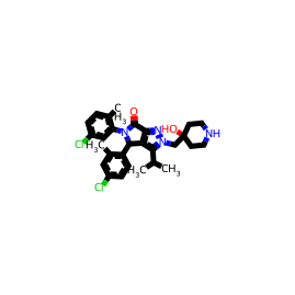 Cc1cc(Cl)ccc1C1c2c(nn(CC3(O)CCNCC3)c2C(C)C)C(=O)N1c1cc(Cl)ccc1C